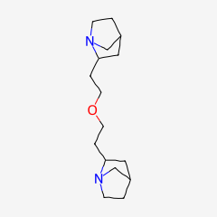 C(CC1CC2CCN1C2)OCCC1CC2CCN1C2